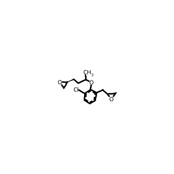 CC(CC[C@H]1CO1)Oc1c(Cl)cccc1CC1CO1